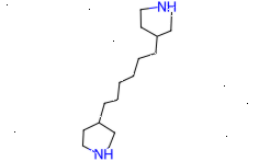 C(CCCC1CCNCC1)CCC1CCNCC1